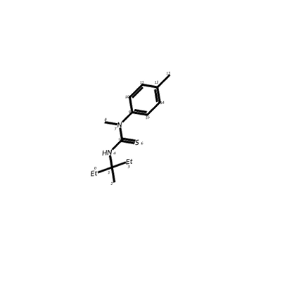 CCC(C)(CC)NC(=S)N(C)c1ccc(C)cc1